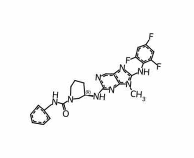 Cn1c(Nc2c(F)cc(F)cc2F)nc2cnc(N[C@@H]3CCCN(C(=O)Nc4ccccc4)C3)nc21